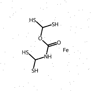 O=C(NC(S)S)OC(S)S.[Fe]